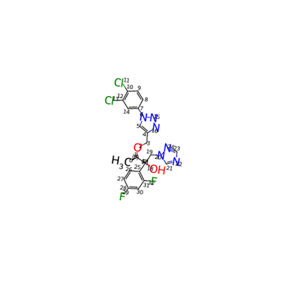 C[C@@H](OCc1cn(-c2ccc(Cl)c(Cl)c2)nn1)[C@](O)(Cn1cncn1)c1ccc(F)cc1F